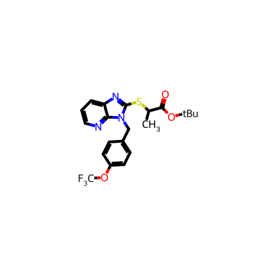 CC(Sc1nc2cccnc2n1Cc1ccc(OC(F)(F)F)cc1)C(=O)OC(C)(C)C